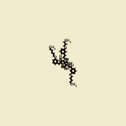 CCCCCCOc1cccc(CCNC(C(N)=O)(C(NCCc2cccc(OCCCC)c2)C(N)=O)C(NCCc2cccc(OCCCCC)c2)C(N)=O)c1